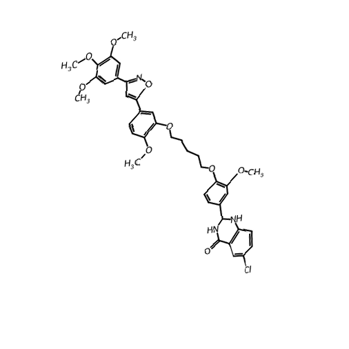 COc1cc(C2NC(=O)c3cc(Cl)ccc3N2)ccc1OCCCCCOc1cc(-c2cc(-c3cc(OC)c(OC)c(OC)c3)no2)ccc1OC